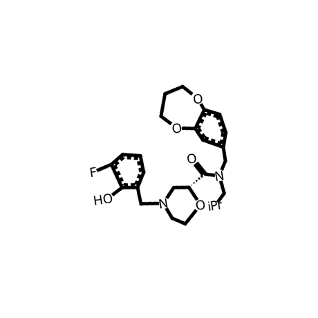 CC(C)CN(Cc1ccc2c(c1)OCCCO2)C(=O)[C@H]1CN(Cc2cccc(F)c2O)CCO1